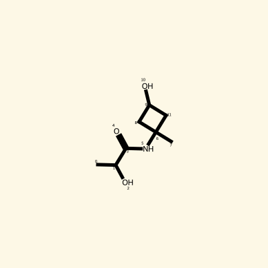 CC(O)C(=O)NC1(C)CC(O)C1